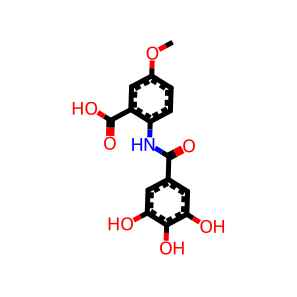 COc1ccc(NC(=O)c2cc(O)c(O)c(O)c2)c(C(=O)O)c1